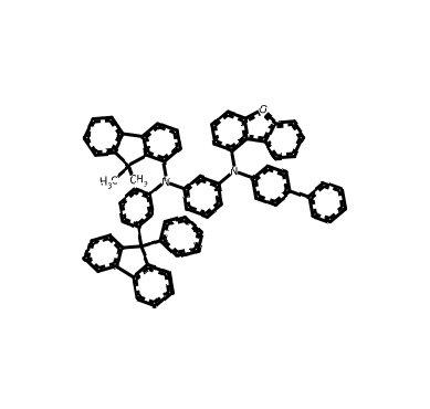 CC1(C)c2ccccc2-c2cccc(N(c3cccc(N(c4ccc(-c5ccccc5)cc4)c4cccc5oc6ccccc6c45)c3)c3cccc(C4(c5ccccc5)c5ccccc5-c5ccccc54)c3)c21